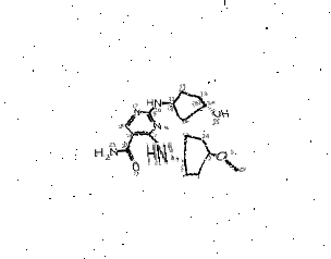 CO[C@H]1CC[C@H](Nc2nc(N[C@H]3CC[C@H](O)C3)ncc2C(N)=O)CC1